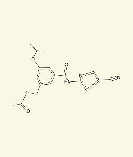 CC(=O)OCc1cc(OC(C)C)cc(C(=O)Nc2ccc(C#N)cn2)c1